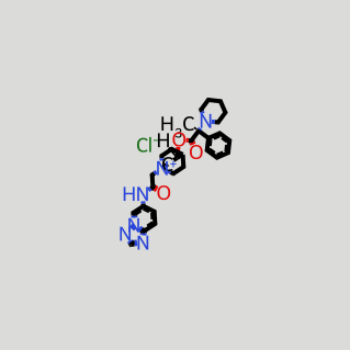 C[C@@](C(=O)O[C@H]1C[N+]2(CC(=O)Nc3ccc4ncnn4c3)CCC1CC2)(c1ccccc1)N1CCCCC1.[Cl-]